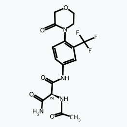 CC(=O)N[C@@H](C(N)=O)C(=O)Nc1ccc(N2CCOCC2=O)c(C(F)(F)F)c1